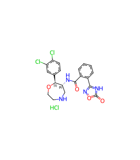 Cl.O=C(N[C@@H]1CNCCO[C@H]1c1ccc(Cl)c(Cl)c1)c1ccccc1-c1noc(=O)[nH]1